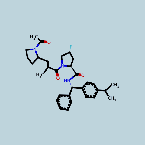 CC(=O)N1CCCC1CC(C)C(=O)N1C[C@H](F)C[C@H]1C(=O)N[C@@H](c1ccccc1)c1ccc(C(C)C)cc1